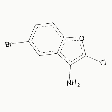 Nc1c(Cl)oc2ccc(Br)cc12